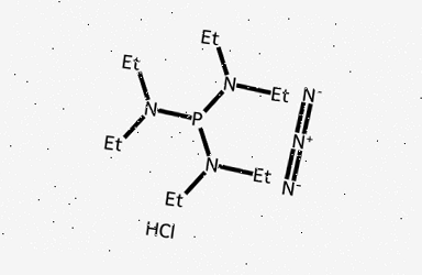 CCN(CC)P(N(CC)CC)N(CC)CC.Cl.[N-]=[N+]=[N-]